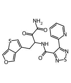 NC(=O)C(=O)C(Cc1csc2cocc12)NC(=O)c1nsnc1-c1ccccn1